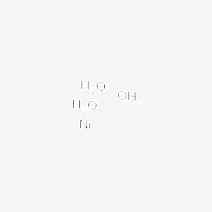 O.O.O.[Ni]